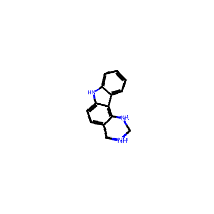 c1ccc2c(c1)[nH]c1ccc3c(c12)NCNC3